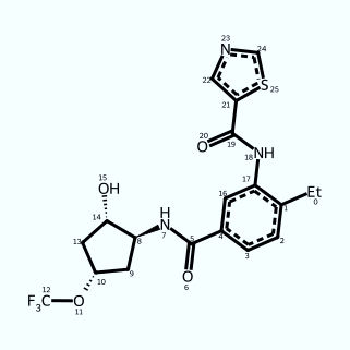 CCc1ccc(C(=O)N[C@H]2C[C@H](OC(F)(F)F)C[C@@H]2O)cc1NC(=O)c1cncs1